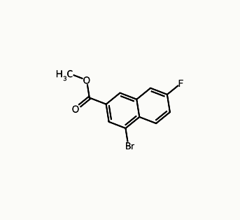 COC(=O)c1cc(Br)c2ccc(F)cc2c1